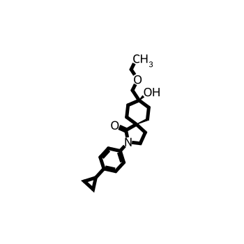 CCOC[C@]1(O)CC[C@]2(CCN(c3ccc(C4CC4)cc3)C2=O)CC1